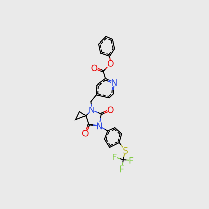 O=C(Oc1ccccc1)c1cc(CN2C(=O)N(c3ccc(SC(F)(F)F)cc3)C(=O)C23CC3)ccn1